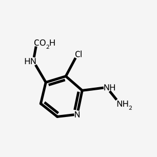 NNc1nccc(NC(=O)O)c1Cl